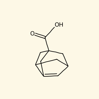 O=C(O)C12CC3=CC(CC3C1)C2